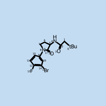 CC(C)(C)CC(=O)NC1CCN(c2ccc(F)c(Br)c2)C1=O